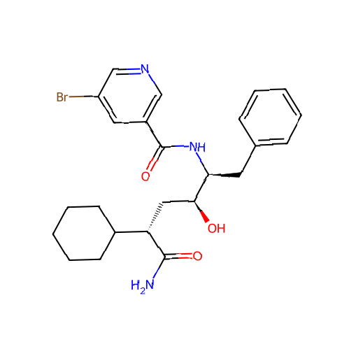 NC(=O)[C@@H](C[C@H](O)[C@H](Cc1ccccc1)NC(=O)c1cncc(Br)c1)C1CCCCC1